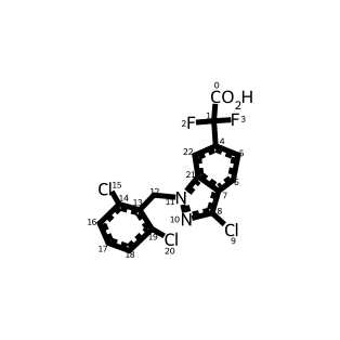 O=C(O)C(F)(F)c1ccc2c(Cl)nn(Cc3c(Cl)cccc3Cl)c2c1